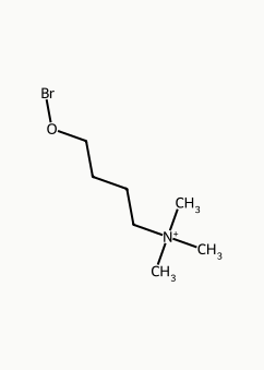 C[N+](C)(C)CCCCOBr